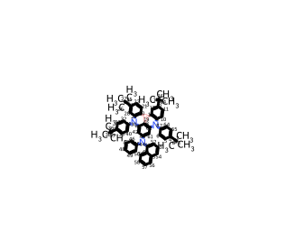 CC(C)(C)c1ccc(N2c3ccc(C(C)(C)C)cc3B3c4ccc(C(C)(C)C)cc4N(c4ccc(C(C)(C)C)cc4)c4cc(N(c5ccccc5)c5cccc6ccccc56)cc2c43)cc1